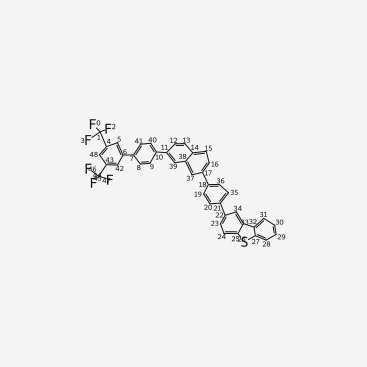 FC(F)(F)c1cc(-c2ccc(-c3ccc4ccc(-c5ccc(-c6ccc7sc8ccccc8c7c6)cc5)cc4c3)cc2)cc(C(F)(F)F)c1